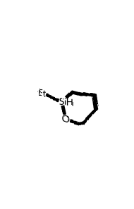 C[CH][SiH]1CCCCO1